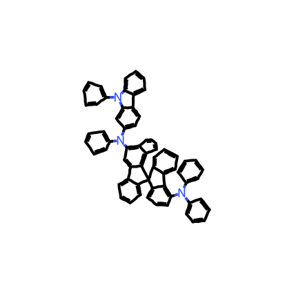 c1ccc(N(c2ccccc2)c2cccc3c2-c2ccccc2C32c3ccccc3-c3cc(N(c4ccccc4)c4ccc5c6ccccc6n(-c6ccccc6)c5c4)c4ccccc4c32)cc1